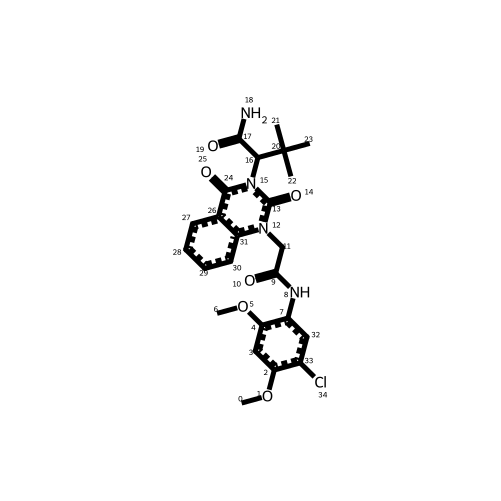 COc1cc(OC)c(NC(=O)Cn2c(=O)n(C(C(N)=O)C(C)(C)C)c(=O)c3ccccc32)cc1Cl